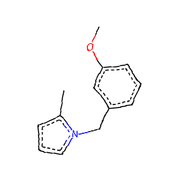 COc1cccc(Cn2cccc2C)c1